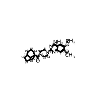 COc1cc2nc(N3CCN(C(=O)C45CCCC6CC(CC64)C5)CC3)nc(N)c2cc1OC